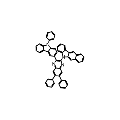 c1ccc(-c2cc3nc(-c4ccc5c(c4)c4ccccc4n5-c4ccccc4)c(-n4c5ccccc5c5cc6ccccc6cc54)nc3cc2-c2ccccc2)cc1